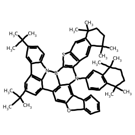 CC(C)(C)c1ccc2c(c1)c1cc(C(C)(C)C)cc3c1n2B1c2sc4cc5c(cc4c2N(c2ccc4c(c2)C(C)(C)CCC4(C)C)c2c1c-3cc1oc3ccccc3c21)C(C)(C)CCC5(C)C